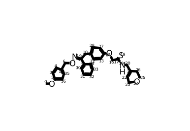 COc1ccc(CON=C(Cc2ccc(OCC(=S)NCC3=CCOCC3)cc2)c2ccccc2)cc1